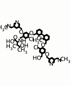 C/N=C/c1cncc(COc2cc(OCc3cccc(-c4cccc(COc5cc(OCc6cncc(/C=N/C)c6)c(CN[C@H](C(=O)O)[C@@H](C)[C@H](C)O)cc5Cl)c4C)c3C)c(Cl)cc2CO)c1